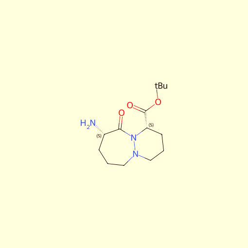 CC(C)(C)OC(=O)[C@@H]1CCCN2CCC[C@H](N)C(=O)N12